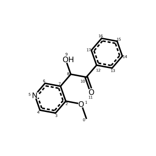 COc1ccncc1C(O)C(=O)c1ccccc1